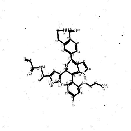 C=CC(=O)NC(C)c1cc(-c2nc(-c3ccc4c(c3)CCNC4=O)c3ccsc3c2-c2c(F)cc(F)cc2OCCO)n[nH]1